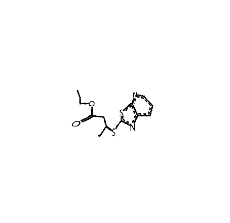 CCOC(=O)CC(C)Sc1nc2cccnc2s1